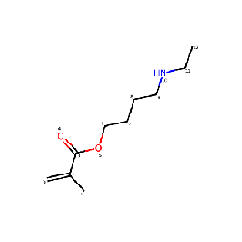 C=C(C)C(=O)OCCCCNCC